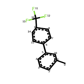 Cc1[c]ccc(-c2ccc(C(F)(F)F)cc2)c1